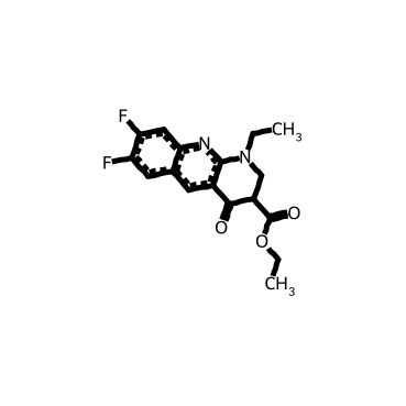 CCOC(=O)C1CN(CC)c2nc3cc(F)c(F)cc3cc2C1=O